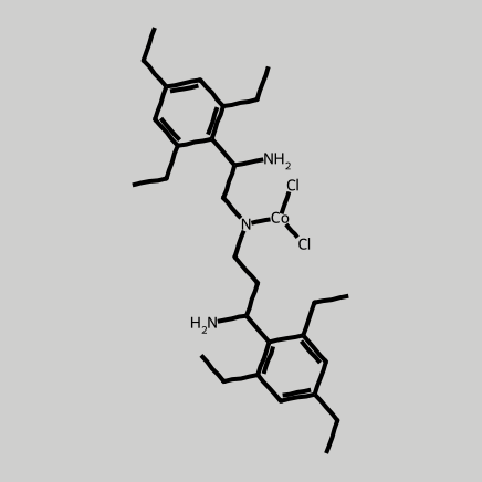 CCc1cc(CC)c(C(N)CC[N](CC(N)c2c(CC)cc(CC)cc2CC)[Co]([Cl])[Cl])c(CC)c1